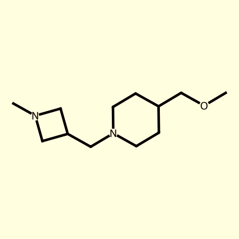 COCC1CCN(CC2CN(C)C2)CC1